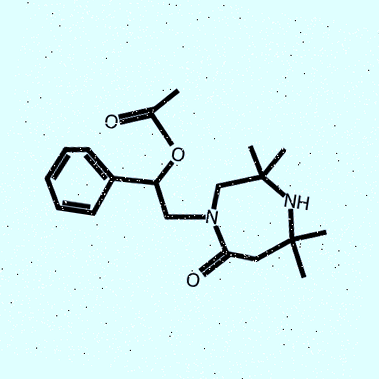 CC(=O)OC(CN1CC(C)(C)NC(C)(C)CC1=O)c1ccccc1